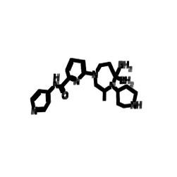 BC1(B)CCN(c2cccc(C(=O)Nc3ccncc3)n2)CC(C)N1C1CCNCC1